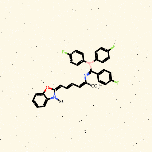 CCN1C(=CC=CC=C(N=C(B(c2ccc(F)cc2)c2ccc(F)cc2)c2ccc(F)cc2)C(=O)O)Oc2ccccc21